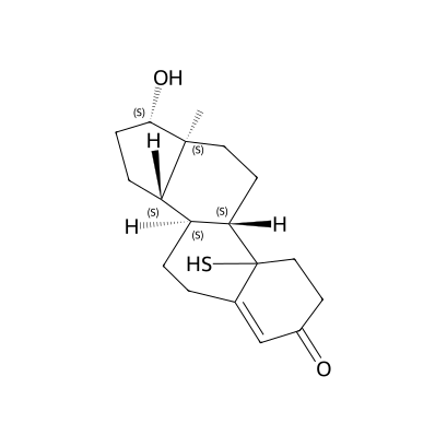 C[C@]12CC[C@H]3[C@@H](CCC4=CC(=O)CCC43S)[C@@H]1CC[C@@H]2O